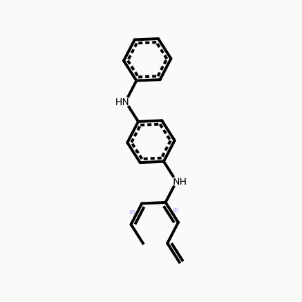 C=C/C=C(\C=C/C)Nc1ccc(Nc2ccccc2)cc1